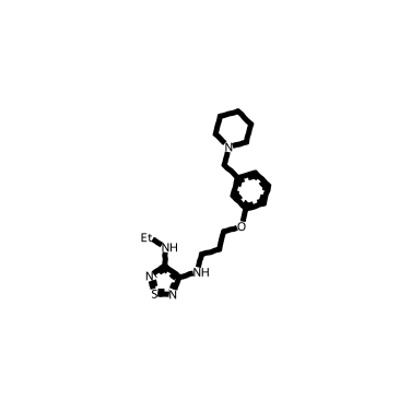 CCNc1nsnc1NCCCOc1cccc(CN2CCCCC2)c1